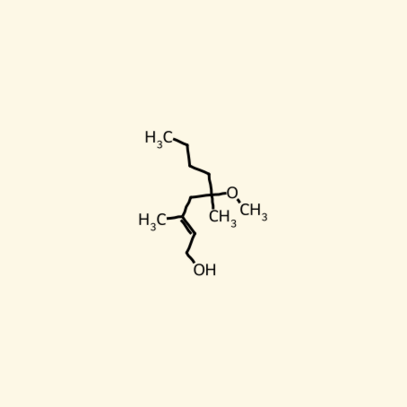 CCCCC(C)(CC(C)=CCO)OC